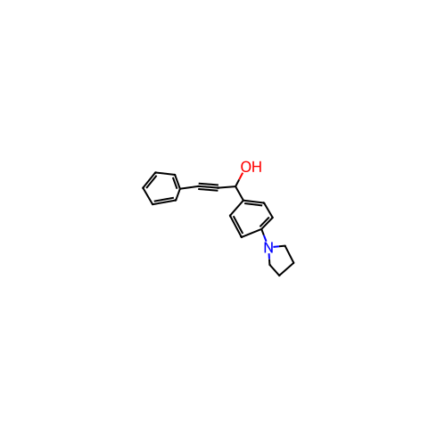 OC(C#Cc1ccccc1)c1ccc(N2CCCC2)cc1